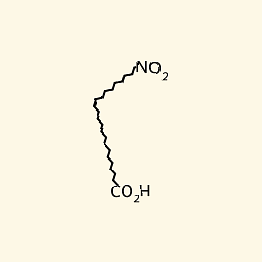 O=C(O)CCCCCCCCCCCCC/C=C\CCCCCCCC[N+](=O)[O-]